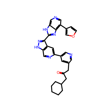 O=C(Cc1cncc(-c2cc3c(-c4nc5c(-c6ccoc6)cncc5[nH]4)n[nH]c3cn2)c1)CC1CCCCC1